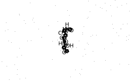 O=C(CN1Cc2ccc(-c3nc(NC4CCOCC4)ncc3Cl)cc2C1=O)N[C@H](CO)c1cccc(C2CCCC2=O)c1